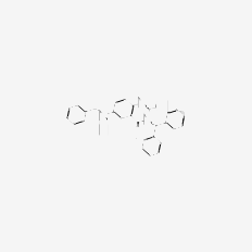 Cc1nc2ccc(NCc3ccccc3)cc2c(=O)n1C(c1ccccc1)c1ccccc1